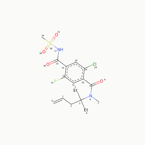 C=CCC(CC)(CC)N(C)C(=O)c1cc(F)c(C(=O)NS(C)(=O)=O)cc1Cl